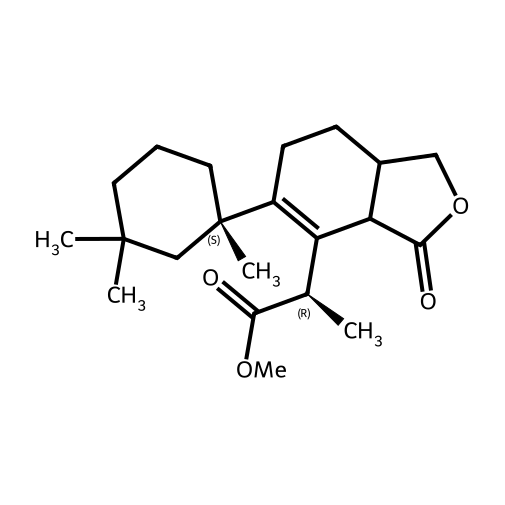 COC(=O)[C@H](C)C1=C([C@@]2(C)CCCC(C)(C)C2)CCC2COC(=O)C12